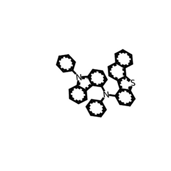 c1ccc(N(c2cccc3sc4c5ccccc5ccc4c23)c2cccc3c2c2ccccc2n3-c2ccccc2)cc1